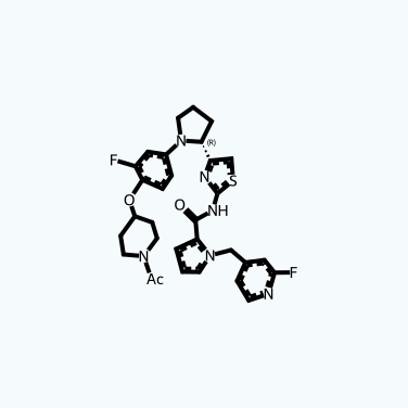 CC(=O)N1CCC(Oc2ccc(N3CCC[C@@H]3c3csc(NC(=O)c4cccn4Cc4ccnc(F)c4)n3)cc2F)CC1